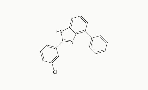 Clc1cccc(-c2nc3c(-c4ccccc4)cccc3[nH]2)c1